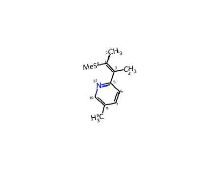 CS/C(C)=C(/C)c1ccc(C)cn1